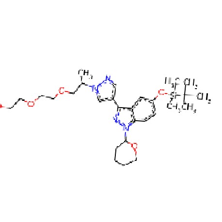 CC(COCCOCCO)n1cc(-c2nn(C3CCCCO3)c3ccc(O[Si](C)(C)C(C)(C)C)cc23)cn1